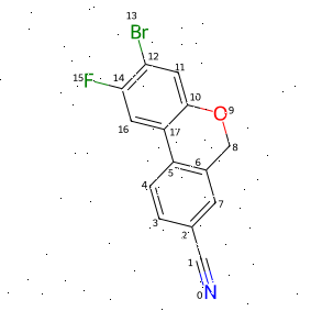 N#Cc1ccc2c(c1)COc1cc(Br)c(F)cc1-2